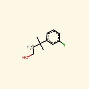 CC(C)([SiH2]CO)c1cccc(F)c1